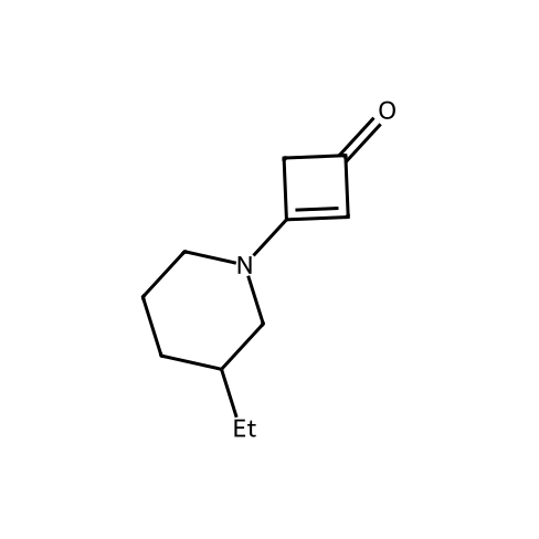 CCC1CCCN(C2=CC(=O)C2)C1